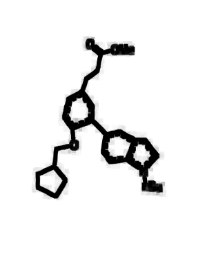 CCCCn1ccc2cc(-c3cc(CCC(=O)OC)ccc3OCC3CCCC3)ccc21